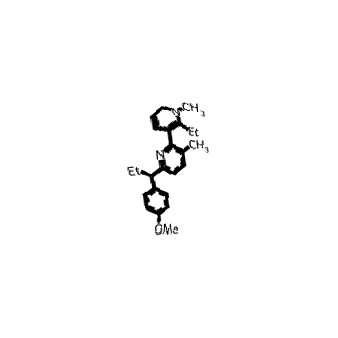 CCC1=C(c2nc(C(CC)c3ccc(OC)cc3)ccc2C)C=CCN1C